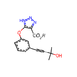 CC(C)(O)C#Cc1cccc(Oc2[nH]nnc2C(=O)O)c1